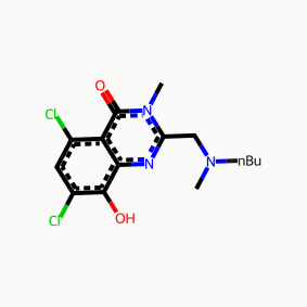 CCCCN(C)Cc1nc2c(O)c(Cl)cc(Cl)c2c(=O)n1C